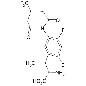 CC(c1cc(N2C(=O)CC(C(F)(F)F)CC2=O)c(F)cc1Cl)C(N)C(=O)O